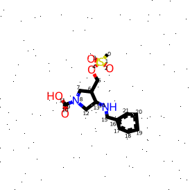 CS(=O)(=O)OCC1CN(C(=O)O)CC1NCc1ccccc1